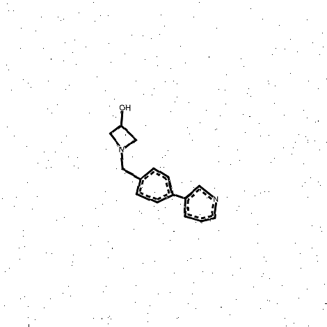 OC1CN(Cc2ccc(-c3c[c]cnc3)cc2)C1